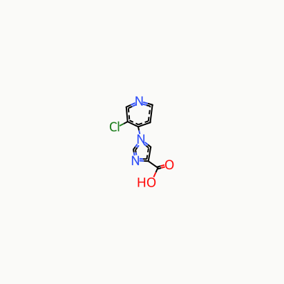 O=C(O)c1cn(-c2ccncc2Cl)cn1